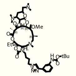 CC[C@H]1OC(=O)[C@H](C)C(=O)[C@H](C)[C@@H](O[C@@H]2OC(CN(C)C)CC(N(C)C)C2O)[C@](C)(OC)C[C@@H](C)CN(C)[C@H](C)[C@H]2N(CCCCn3cc(-c4cccc(NC(=O)OC(C)(C)C)c4)nn3)C(=O)O[C@]12C